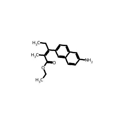 CCOC(=O)C(C)=C(CC)c1ccc2cc(N)ccc2c1